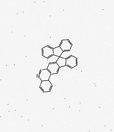 C1=CC2N=Cc3cc4c(cc3C2C=C1)-c1ccccc1C41c2ccccc2-c2ccccc21